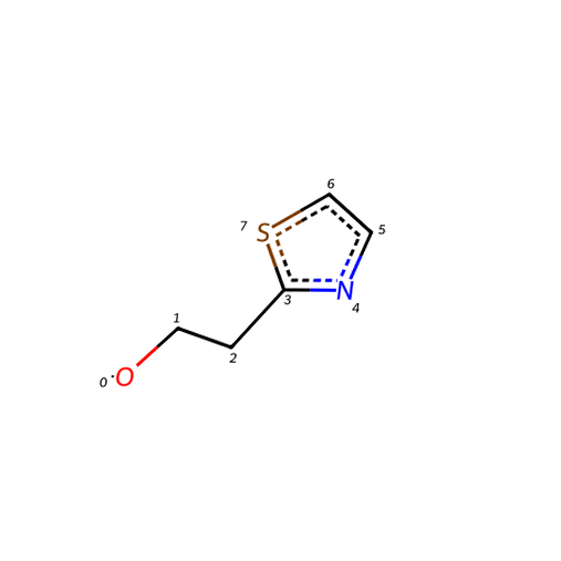 [O]CCc1nccs1